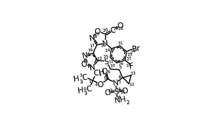 CC(C)(C)OC(=O)N(C1(CCSc2nonc2C2=NOC(=C=O)N2c2ccc(F)c(Br)c2)CC1)S(N)(=O)=O